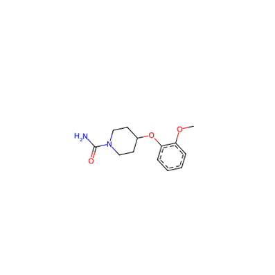 COc1ccccc1OC1CCN(C(N)=O)CC1